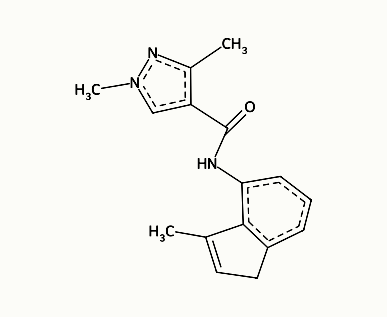 CC1=CCc2cccc(NC(=O)c3cn(C)nc3C)c21